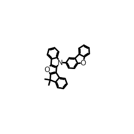 CC1(C)c2ccccc2-c2c1oc1c3ccccc3n(-c3ccc4oc5ccccc5c4c3)c21